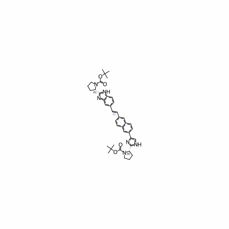 CC(C)(C)OC(=O)N1CCC[C@H]1c1nc(-c2ccc3cc(/C=C/c4ccc5[nH]c([C@@H]6CCCN6C(=O)OC(C)(C)C)nc5c4)ccc3c2)c[nH]1